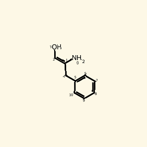 NC(=CO)Cc1ccccc1